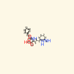 N=C1CCCCC(CCCC(NC(=O)OCc2ccccc2)C(=O)O)N1